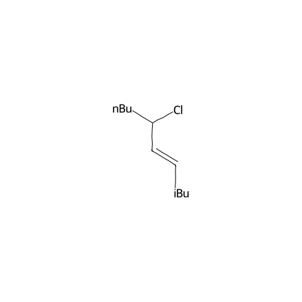 CCCCC(Cl)C=CC(C)CC